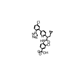 O=C(Nc1ccc(C2(O)OO2)cc1Cl)C(CC1CC1)c1ccc(-c2cc(Cl)ccc2-n2cnnn2)cn1